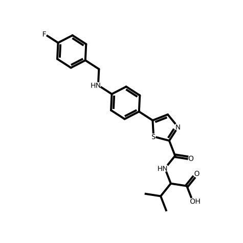 CC(C)C(NC(=O)c1ncc(-c2ccc(NCc3ccc(F)cc3)cc2)s1)C(=O)O